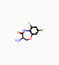 NC1COc2cc(F)cc(F)c2NC1=O